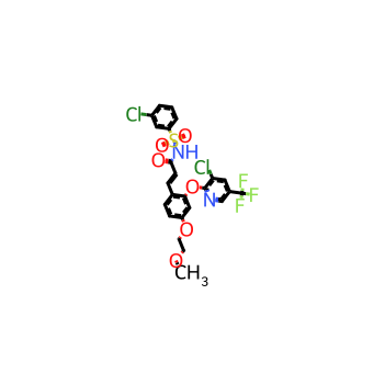 COCCOc1ccc(C=CC(=O)NS(=O)(=O)c2cccc(Cl)c2)c(Oc2ncc(C(F)(F)F)cc2Cl)c1